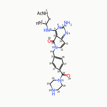 CCCC(CNC(C)=O)Nc1nc(N)nc2ccn(Cc3ccc(C(=O)N4CCNCC4)cc3)c(=O)c12